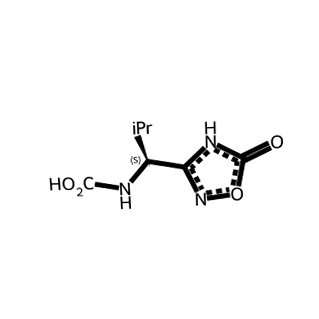 CC(C)[C@H](NC(=O)O)c1noc(=O)[nH]1